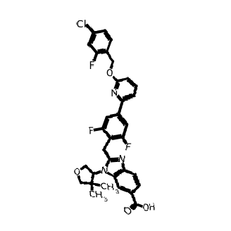 CC1(C)COCC1n1c(Cc2c(F)cc(-c3cccc(OCc4ccc(Cl)cc4F)n3)cc2F)nc2ccc(C(=O)O)cc21